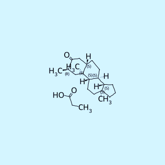 CCC(=O)O.C[C@@H]1C[C@@]2(C)[C@@H](CC[C@H]3[C@@H]4CCC[C@@]4(C)CC[C@@H]32)CC1=O